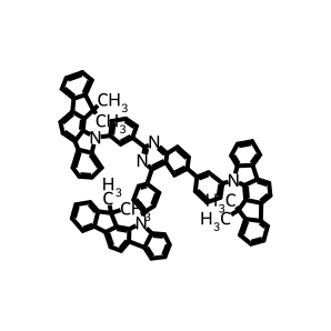 CC1(C)c2ccccc2-c2ccc3c4ccccc4n(-c4ccc(-c5nc(-c6cccc(-n7c8ccccc8c8ccc9c(c87)C(C)(C)c7ccccc7-9)c6)nc6ccc(-c7cccc(-n8c9ccccc9c9ccc%10c(c98)C(C)(C)c8ccccc8-%10)c7)cc56)cc4)c3c21